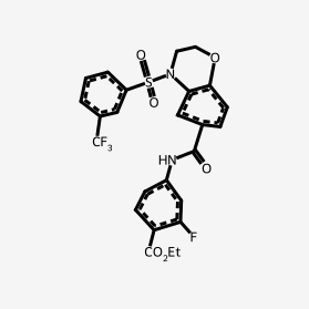 CCOC(=O)c1ccc(NC(=O)c2ccc3c(c2)N(S(=O)(=O)c2cccc(C(F)(F)F)c2)CCO3)cc1F